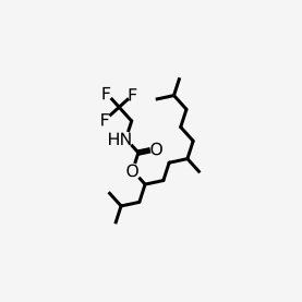 CC(C)CCCC(C)CCC(CC(C)C)OC(=O)NCC(F)(F)F